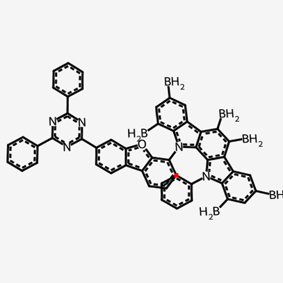 Bc1cc(B)c2c(c1)c1c(B)c(B)c3c4cc(B)cc(B)c4n(-c4cccc5c4oc4cc(-c6nc(-c7ccccc7)nc(-c7ccccc7)n6)ccc45)c3c1n2-c1ccccc1